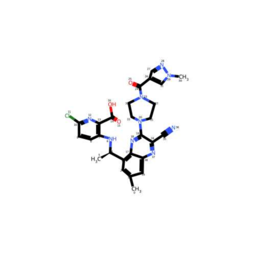 Cc1cc([C@@H](C)Nc2ccc(Cl)nc2C(=O)O)c2nc(N3CCN(C(=O)c4cnn(C)c4)CC3)c(C#N)nc2c1